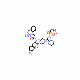 CS(=O)(=O)NCC(C1CCCCC1)N1CCN(C(=O)C(Cc2ccc(Cl)cc2)NC(=O)CC2NCCc3ccccc32)CC1